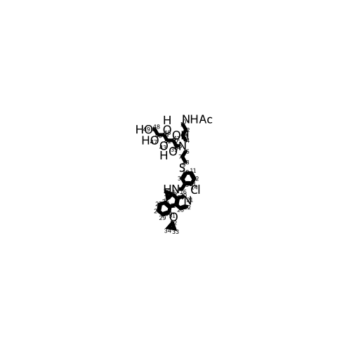 CC(=O)NCCCCN(CCCSc1ccc(Cl)c(CNC2(c3cnccc3-c3ccccc3OC3CC3)CC2)c1)C(=O)C(O)C(O)C(O)C(O)CO